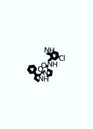 NCc1ccc(Cl)cc1CNC(=O)[C@@H]1CCCN1C(=O)[C@H]1NCCC1c1ccccc1